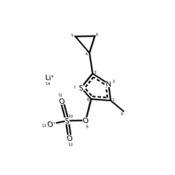 Cc1nc(C2CC2)sc1OS(=O)(=O)[O-].[Li+]